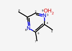 Cc1cnc(C)c(C)n1.O